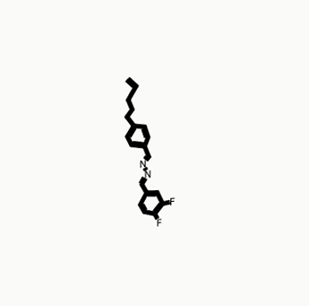 C=CCCCc1ccc(/C=N/N=C/c2ccc(F)c(F)c2)cc1